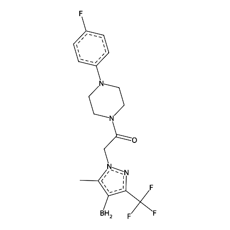 Bc1c(C(F)(F)F)nn(CC(=O)N2CCN(c3ccc(F)cc3)CC2)c1C